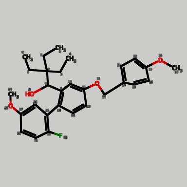 CCC(CC)(CC)C(O)c1cc(OCc2ccc(OC)cc2)ccc1-c1cc(OC)ccc1F